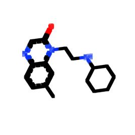 Cc1ccc2ncc(=O)n(CCNC3CCCCC3)c2c1